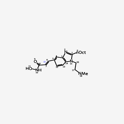 CCCCCCCCc1nc2cc(/C=C/C(=O)NO)ccc2n1CCNC